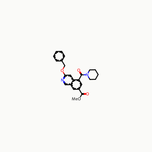 COC(=O)c1cc(C(=O)N2CCCCC2)c2cc(OCc3ccccc3)ncc2c1